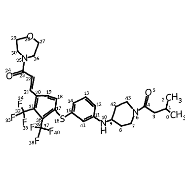 CC(C)CC(=O)N1CCC(Nc2cccc(Sc3ccc(C=CC(=O)N4CCOCC4)c(C(F)(F)F)c3C(F)(F)F)c2)CC1